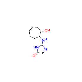 O=C1C=NC(N[C@@H]2CCCCC[C@@H]2O)N1